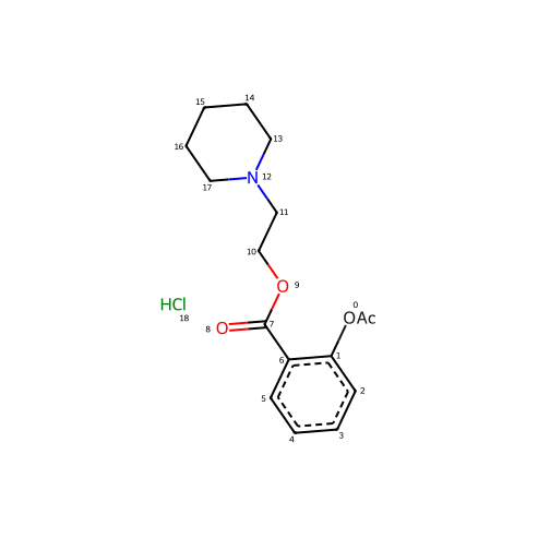 CC(=O)Oc1ccccc1C(=O)OCCN1CCCCC1.Cl